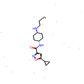 CC(C)CCN[C@H]1CC[C@H](NC(=O)c2cc(C3CC3)on2)CC1